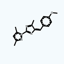 COc1ccc(C=C2N=C(n3nc(C)cc3C)N=C2C)cc1